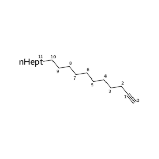 C#CCCCCCCCCCCCCCCC[CH2]